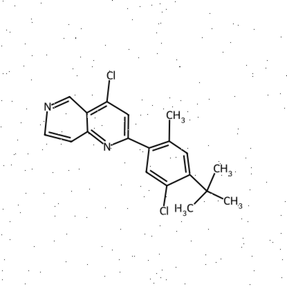 Cc1cc(C(C)(C)C)c(Cl)cc1-c1cc(Cl)c2cnccc2n1